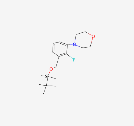 CC(C)(C)[Si](C)(C)OCc1cccc(N2CCOCC2)c1F